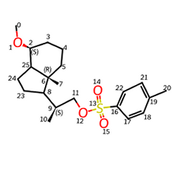 CO[C@H]1CCC[C@]2(C)C([C@H](C)COS(=O)(=O)c3ccc(C)cc3)CCC12